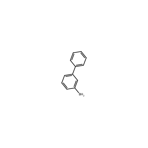 Bc1cccc(-c2ccccc2)c1